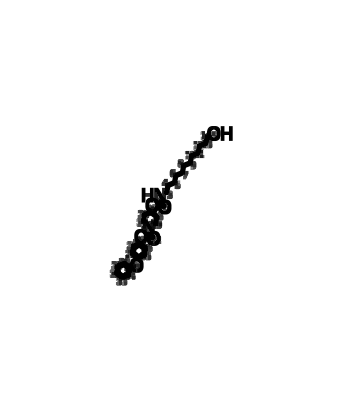 O=C(NCCCCCCCCCCCCO)OC1CCN(C(=O)Oc2ccc(Oc3ccccc3)cc2)CC1